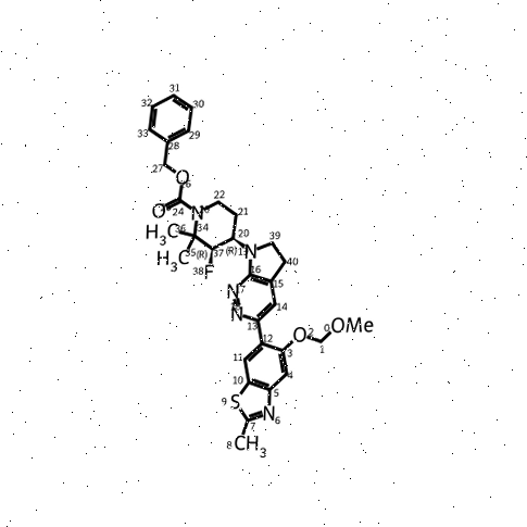 COCOc1cc2nc(C)sc2cc1-c1cc2c(nn1)N([C@@H]1CCN(C(=O)OCc3ccccc3)C(C)(C)[C@@H]1F)CC2